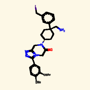 COc1ccc(-c2nnc3n2CC(=O)N([C@H]2CC[C@@](CN)(c4cccc(CI)c4)CC2)C3)cc1OC